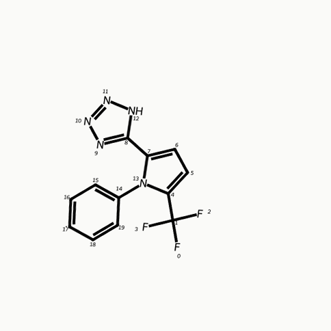 FC(F)(F)c1ccc(-c2nnn[nH]2)n1-c1cc[c]cc1